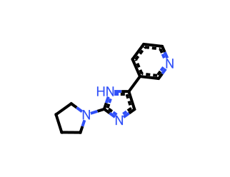 c1cncc(-c2cnc(N3CCCC3)[nH]2)c1